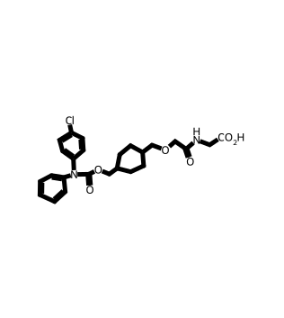 O=C(O)CNC(=O)COCC1CCC(COC(=O)N(c2ccccc2)c2ccc(Cl)cc2)CC1